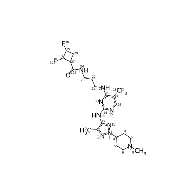 Cc1nn(C2CCN(C)CC2)nc1Nc1ncc(C(F)(F)F)c(NCCCNC(=O)C2CC(F)C2F)n1